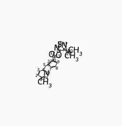 Cc1ccc(Cc2cccc(C(=O)Oc3nsnc3C(C)C)c2)nc1